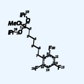 CO[Si](CCCCCCc1c(F)cc(F)cc1F)(OC(C)C)OC(C)C